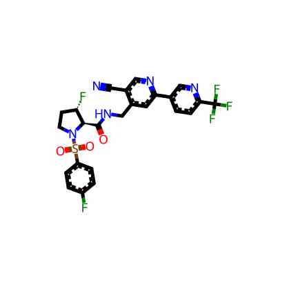 N#Cc1cnc(-c2ccc(C(F)(F)F)nc2)cc1CNC(=O)[C@@H]1[C@@H](F)CCN1S(=O)(=O)c1ccc(F)cc1